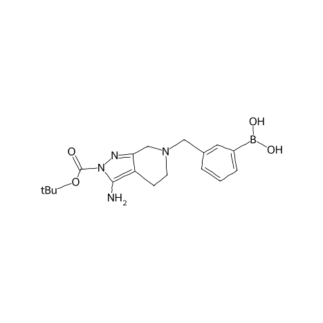 CC(C)(C)OC(=O)n1nc2c(c1N)CCN(Cc1cccc(B(O)O)c1)C2